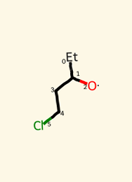 CCC([O])CCCl